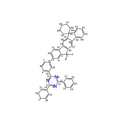 CC1(C)c2cc(-c3cccc(-c4nc(C5=CCCC=C5)nc(-c5ccccc5)n4)c3)ccc2-c2cc3c(cc21)-c1ccccc1C31CCCCC1